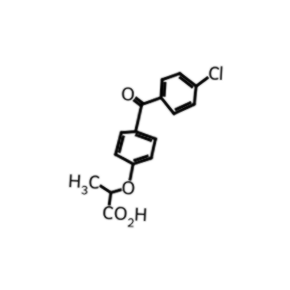 CC(Oc1ccc(C(=O)c2ccc(Cl)cc2)cc1)C(=O)O